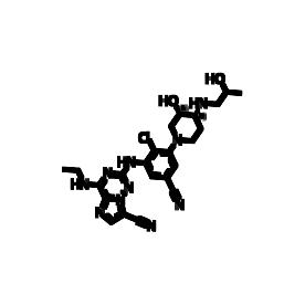 CCNc1nc(Nc2cc(C#N)cc(N3CC[C@@H](NCC(C)O)[C@H](O)C3)c2Cl)nn2c(C#N)cnc12